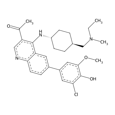 CCN(C)C[C@H]1CC[C@H](Nc2c(C(C)=O)cnc3ccc(-c4cc(Cl)c(O)c(OC)c4)cc23)CC1